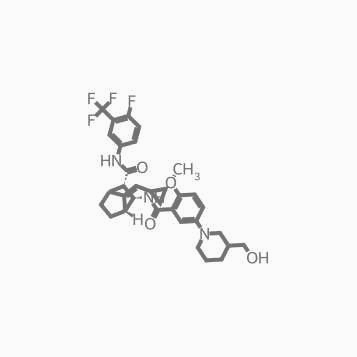 COc1ccc(N2CCCC(CO)C2)cc1C(=O)N[C@@H]1[C@@H]2CCC(/C2=C/C2CC2)[C@@H]1C(=O)Nc1ccc(F)c(C(F)(F)F)c1